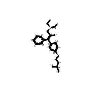 CCN(CC)CC(C)=C(c1ccccc1)c1ccc(SCCC(C)C)cc1